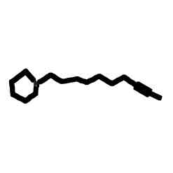 CC#CCCCCCCCN1CCCCC1